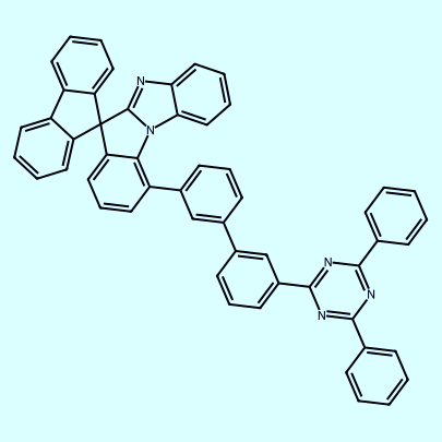 c1ccc(-c2nc(-c3ccccc3)nc(-c3cccc(-c4cccc(-c5cccc6c5-n5c(nc7ccccc75)C65c6ccccc6-c6ccccc65)c4)c3)n2)cc1